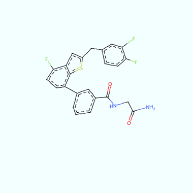 NC(=O)CNC(=O)c1cccc(-c2ccc(F)c3cc(Cc4ccc(F)c(F)c4)sc23)c1